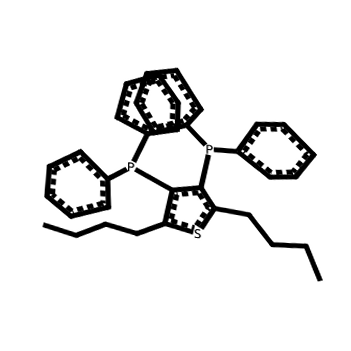 CCCCc1sc(CCCC)c(P(c2ccccc2)c2ccccc2)c1P(c1ccccc1)c1ccccc1